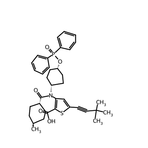 CC(C)(C)C#Cc1cc(N(C(=O)[C@H]2CC[C@H](C)CC2)[C@H]2CC[C@@H](OP(=O)(c3ccccc3)c3ccccc3)CC2)c(C(=O)O)s1